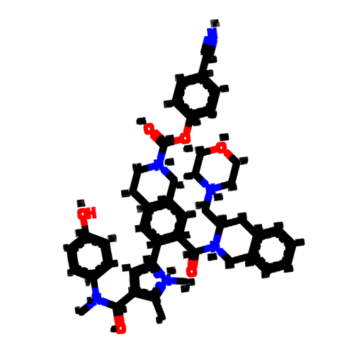 Cc1c(C(=O)N(C)c2ccc(O)cc2)cc(-c2cc3c(cc2C(=O)N2Cc4ccccc4CC2CN2CCOCC2)CN(C(=O)Oc2ccc(C#N)cc2)CC3)n1C